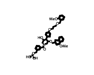 COc1ccccc1COCCCOc1ccc(C2C(O)CN(C(=O)c3cccc(CON(O)O)c3)CC2OCc2cc(OC)c3ccccc3c2)cc1